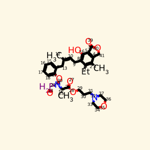 CCc1c(C)c2c(c(O)c1CC=C(C)Cc1ccccc1ON([PH2]=O)[C@@H](C)C(=O)OCCCN1CCOCC1)C(=O)OC2